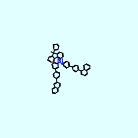 CC1(c2ccccc2)c2ccccc2-c2c(N(c3ccc(-c4ccc(-c5cccc6ccccc56)cc4)cc3)c3cccc(-c4ccc(-c5ccc6ccccc6c5)cc4)c3)cccc21